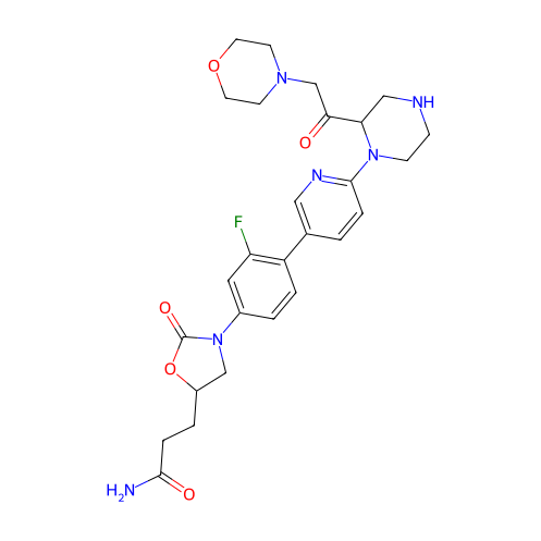 NC(=O)CCC1CN(c2ccc(-c3ccc(N4CCNCC4C(=O)CN4CCOCC4)nc3)c(F)c2)C(=O)O1